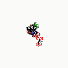 COC(=O)C[C@@H](C)C(=O)OCOc1c2n(ccc1=O)N([C@@H]1C3=C(CCC=C3)SCc3c1ccc(F)c3F)[C@@H]1COCCN1C2=O